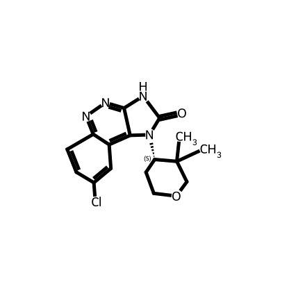 CC1(C)COCC[C@@H]1n1c(=O)[nH]c2nnc3ccc(Cl)cc3c21